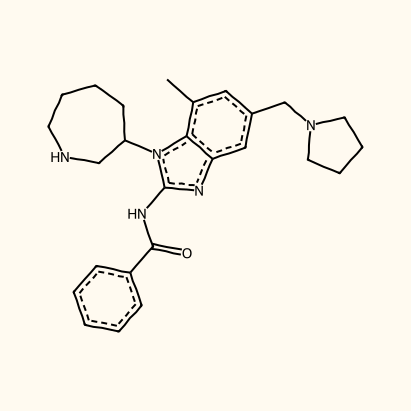 Cc1cc(CN2CCCC2)cc2nc(NC(=O)c3ccccc3)n(C3CCCCNC3)c12